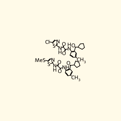 CSc1cnc(NC(=O)C(=O)Nc2ccc(C)cc2C(=O)C2CCCC2)s1.Cc1ccc(NC(=O)C(=O)Nc2ncc(Cl)s2)c(C(=O)C2CCCC2)c1